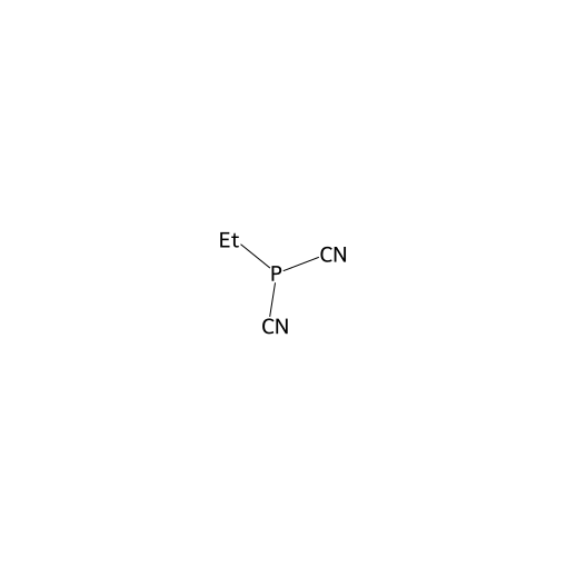 CCP(C#N)C#N